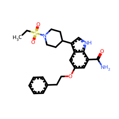 CCS(=O)(=O)N1CCC(c2c[nH]c3c(C(N)=O)cc(OCCc4ccccc4)cc23)CC1